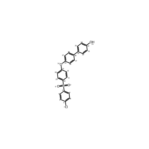 O=S(=O)(c1ccc(Cl)cc1)c1ccc(Oc2ccc(-c3ccc(O)cc3)cc2)cc1